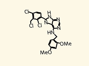 COc1ccc(CNc2ncnc3[nH]c(-c4ccc(Cl)c(CCl)c4Cl)nc23)c(OC)c1